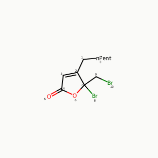 CCCCCCC1=CC(=O)OC1(Br)CBr